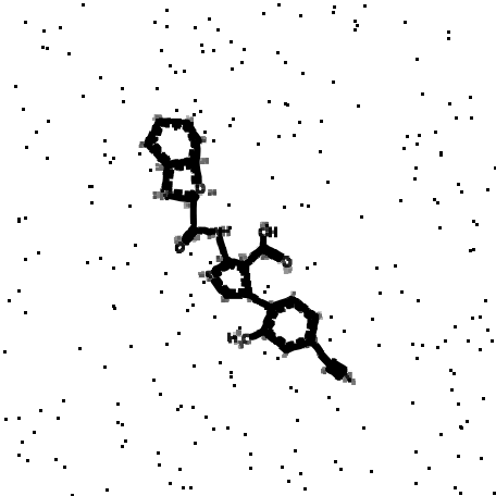 Cc1cc(C#N)ccc1-c1csc(NC(=O)c2nc3ccccc3o2)c1C(=O)O